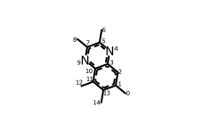 Cc1cc2nc(C)c(C)nc2c(C)c1C